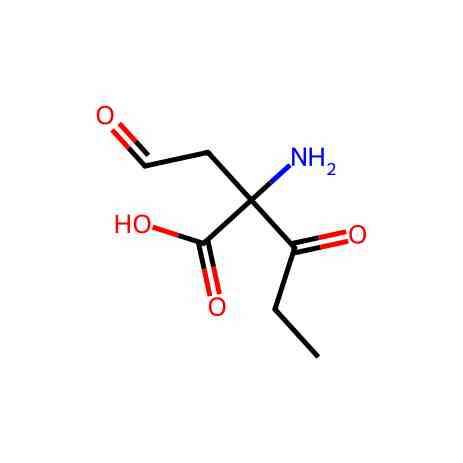 CCC(=O)C(N)(CC=O)C(=O)O